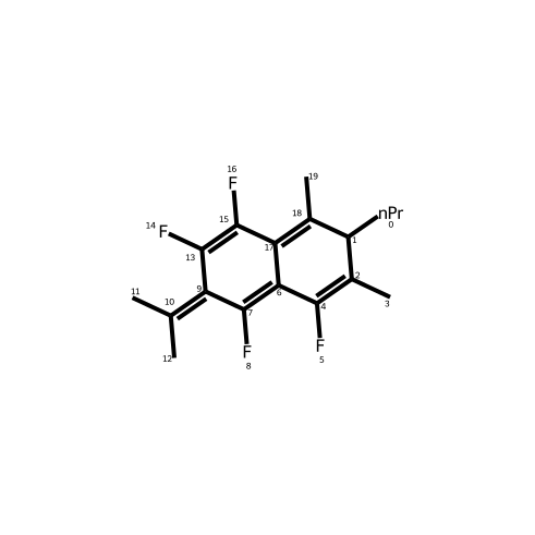 CCCC1C(C)=C(F)c2c(F)c(=C(C)C)c(F)c(F)c2=C1C